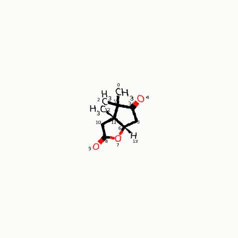 CC1(C)C(=O)C[C@@H]2OC(=O)C[C@@]21C